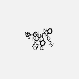 COc1ccc(CN(Cc2nc3ccccc3n2COCCS(C)(C)C)c2nc(N3CCOCC3)nc3c(-c4cncs4)cnn23)cc1